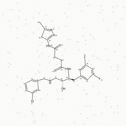 CCc1cccc(CNC[C@@H](O)[C@H](Cc2cc(F)cc(F)c2)NC(=O)CCC(=O)Nc2nnc(C)s2)c1